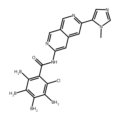 Bc1c(B)c(B)c(C(=O)Nc2cc3cc(-c4cncn4C)ncc3cn2)c(Cl)c1B